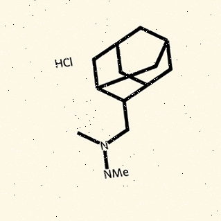 CNN(C)CC1C2CC3CC(C2)CC1C3.Cl